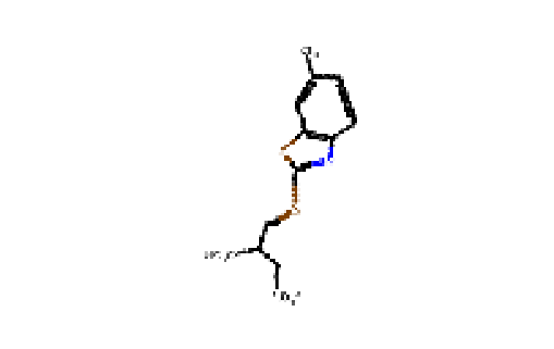 O=C(O)CC(CSc1nc2ccc(C(F)(F)F)cc2s1)C(=O)O